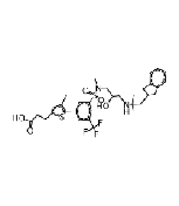 Cc1cc(CCC(=O)O)sc1-c1cc(C(F)(F)F)cc(S(=O)(=O)N(C)C[C@H](O)CNC(C)(C)CC2Cc3ccccc3C2)c1